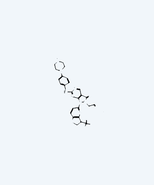 C=CCn1c(=O)c2cnc(Nc3ccc(N4CCN(C)CC4)cc3)nc2n1-c1ccc2c(n1)C(C(F)(F)F)CO2